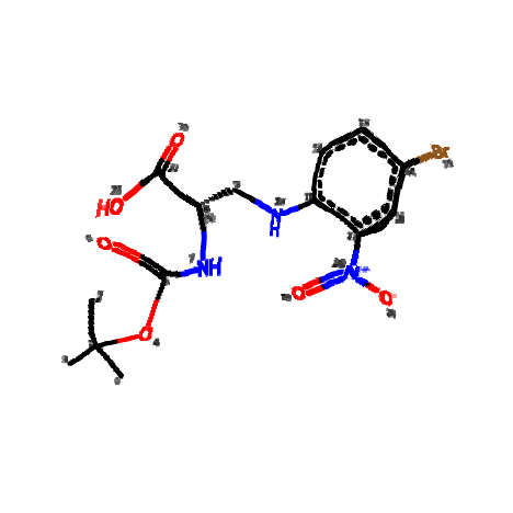 CC(C)(C)OC(=O)N[C@@H](CNc1ccc(Br)cc1[N+](=O)[O-])C(=O)O